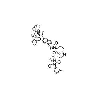 CCCOC(=O)[C@H](C)NP(=O)(Oc1ccccc1)[C@@H](F)c1ccc2sc(C(=O)NC3CCCC[C@H]4CC[C@@H](C(=O)N5C(=O)N(c6cncc(C)c6)C(=O)C56CC6)N4C3=O)cc2c1